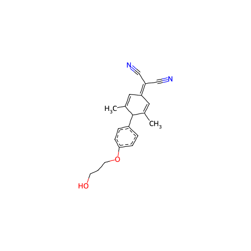 CC1=CC(=C(C#N)C#N)C=C(C)C1c1ccc(OCCCO)cc1